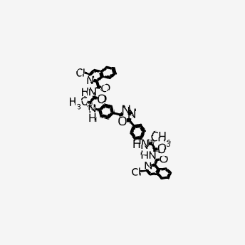 C[C@H](Nc1ccc(-c2nnc(-c3ccc(N[C@@H](C)C(=O)NC(=O)c4nc(Cl)cc5ccccc45)cc3)o2)cc1)C(=O)NC(=O)c1nc(Cl)cc2ccccc12